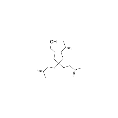 C=C(C)CCC(CCCO)(CCC(=C)C)CCC(=C)C